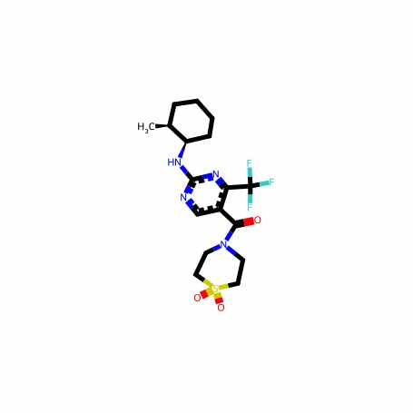 C[C@H]1CCCC[C@H]1Nc1ncc(C(=O)N2CCS(=O)(=O)CC2)c(C(F)(F)F)n1